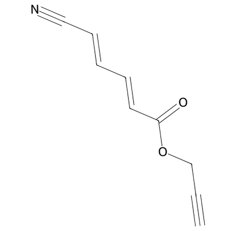 C#CCOC(=O)C=CC=CC#N